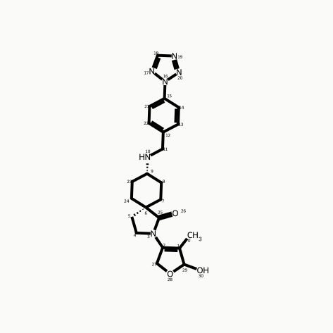 CC1=C(N2CC[C@]3(CC[C@@H](NCc4ccc(-n5ncnn5)cc4)CC3)C2=O)COC1O